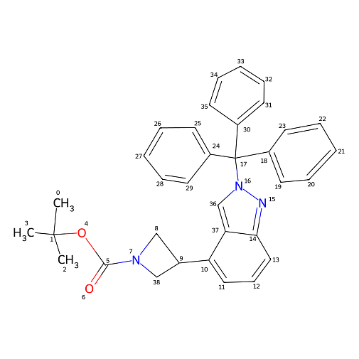 CC(C)(C)OC(=O)N1CC(c2cccc3nn(C(c4ccccc4)(c4ccccc4)c4ccccc4)cc23)C1